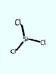 Cl[Si](Cl)Cl